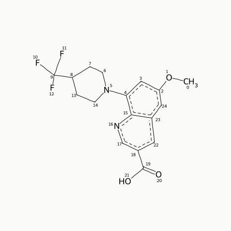 COc1cc(N2CCC(C(F)(F)F)CC2)c2ncc(C(=O)O)cc2c1